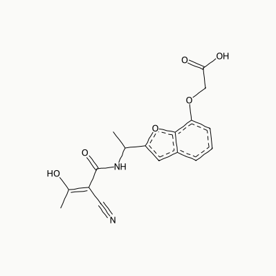 C/C(O)=C(\C#N)C(=O)NC(C)c1cc2cccc(OCC(=O)O)c2o1